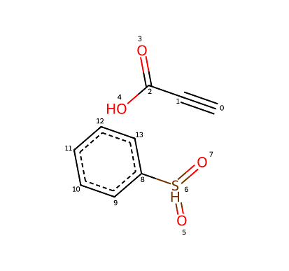 C#CC(=O)O.O=[SH](=O)c1ccccc1